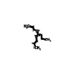 CCCON(CCC)OCCC